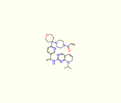 C=CC(=O)N1CCN(C2(c3ccc([C@H](C)Nc4ncc5c(n4)N(C(C)C)CC=C5)cn3)CCOCC2)CC1